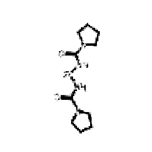 O=C([NH][Zr][NH]C(=O)N1CCCC1)N1CCCC1